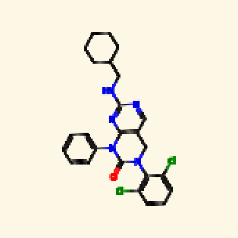 O=C1N(c2c(Cl)cccc2Cl)Cc2cnc(NCC3CCCCC3)nc2N1c1ccccc1